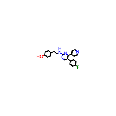 Oc1ccc(CCNc2ncc(-c3ccc(F)cc3)c(-c3ccncc3)n2)cc1